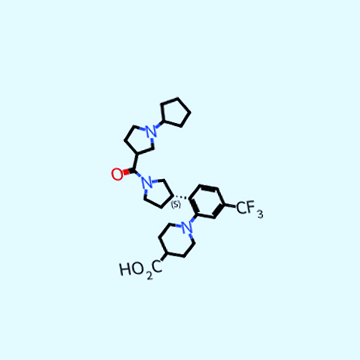 O=C(O)C1CCN(c2cc(C(F)(F)F)ccc2[C@@H]2CCN(C(=O)C3CCN(C4CCCC4)C3)C2)CC1